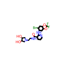 O=C(NCCN1C[C@@H](O)[C@H](O)C1)c1cccnc1Nc1cc2c(cc1Br)OC(F)(F)O2